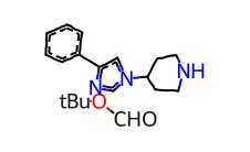 CC(C)(C)OC=O.c1ccc(-c2cn(C3CCNCC3)cn2)cc1